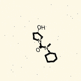 CN(C(=O)N1CC[C@H](O)C1)C1CCCCC1